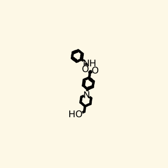 O=C(ONc1ccccc1)c1ccc(N2CCC(CO)CC2)cc1